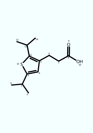 CC(C)c1cc(CCC(=O)O)c(C(C)C)s1